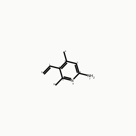 C=Cc1c(C)cc(N)nc1C